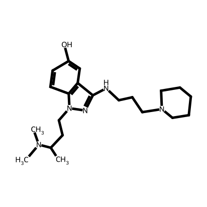 CC(CCn1nc(NCCCN2CCCCC2)c2cc(O)ccc21)N(C)C